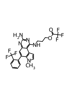 Cn1ccc2c3c(NCCCOC(=O)C(F)(F)F)nc(N)nc3cc(-c3ccccc3C(F)(F)F)c21